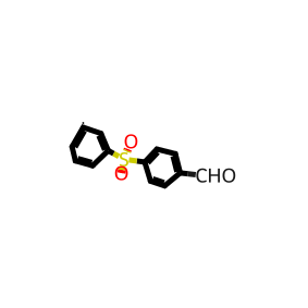 O=Cc1ccc(S(=O)(=O)c2c[c]ccc2)cc1